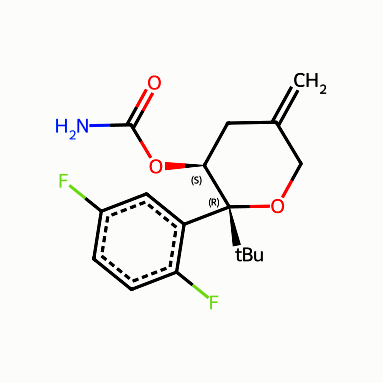 C=C1CO[C@@](c2cc(F)ccc2F)(C(C)(C)C)[C@@H](OC(N)=O)C1